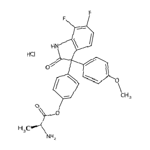 COc1ccc(C2(c3ccc(OC(=O)[C@H](C)N)cc3)C(=O)Nc3c2ccc(F)c3F)cc1.Cl